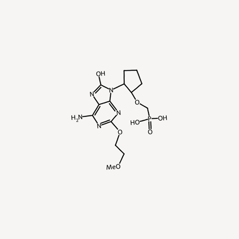 COCCOc1nc(N)c2nc(O)n(C3CCCC3OCP(=O)(O)O)c2n1